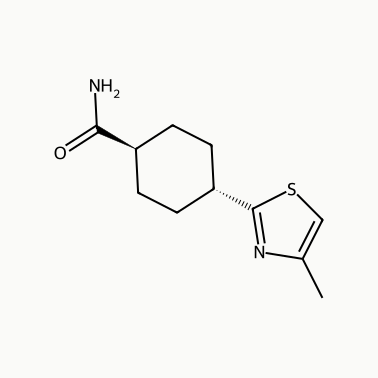 Cc1csc([C@H]2CC[C@H](C(N)=O)CC2)n1